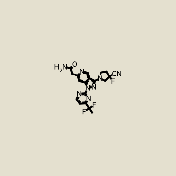 CC(F)(F)c1ccnc(-n2nc(N3CCC(F)(C#N)C3)c3cnc(CC(N)=O)cc32)n1